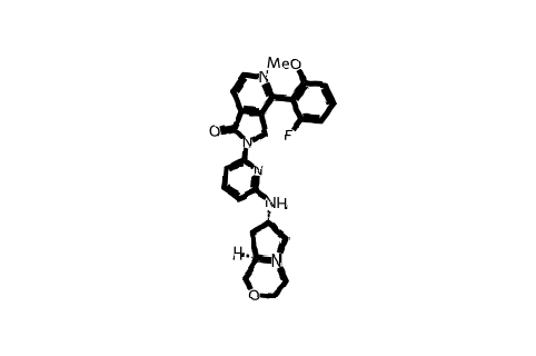 COc1cccc(F)c1-c1nccc2c1CN(c1cccc(N[C@H]3C[C@@H]4COCCN4C3)n1)C2=O